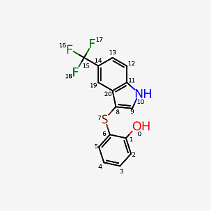 Oc1ccccc1Sc1c[nH]c2ccc(C(F)(F)F)cc12